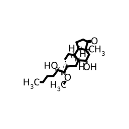 CCCC[C@@H](O)[C@H](OC)[C@@H]1CC[C@@H]2[C@@H](C1)[C@@H](O)C[C@]1(C)C(=O)CC[C@@H]21